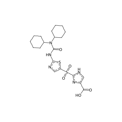 O=C(O)c1c[nH]c(S(=O)(=O)c2cnc(NC(=O)N(C3CCCCC3)C3CCCCC3)s2)n1